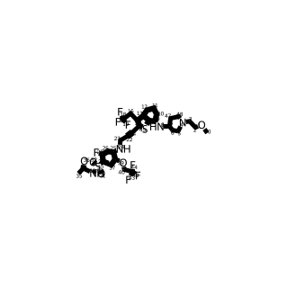 COCCN1CCC(Nc2cccc3c(CC(F)(F)F)c(C#CCNc4cc(F)c(S(=O)(=O)NC(C)=O)cc4OCC(F)(F)F)sc23)CC1